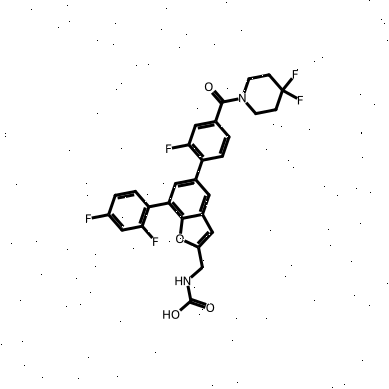 O=C(O)NCc1cc2cc(-c3ccc(C(=O)N4CCC(F)(F)CC4)cc3F)cc(-c3ccc(F)cc3F)c2o1